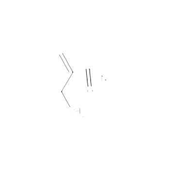 C=CCP.[C]=O.[Ni]